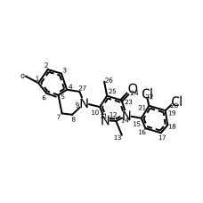 Cc1ccc2c(c1)CCN(c1nc(C)n(-c3cccc(Cl)c3Cl)c(=O)c1C)C2